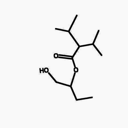 CCC(CO)OC(=O)C(C(C)C)C(C)C